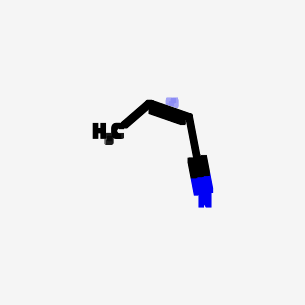 C/C=C\C#N